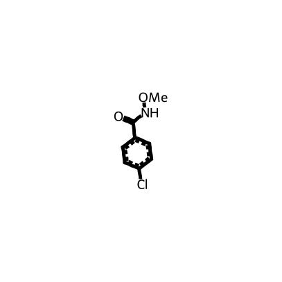 CONC(=O)c1ccc(Cl)cc1